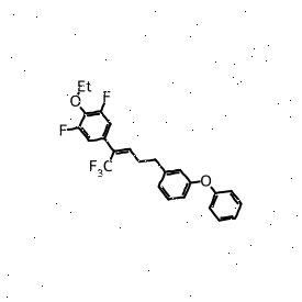 CCOc1c(F)cc(C(=CCCc2cccc(Oc3ccccc3)c2)C(F)(F)F)cc1F